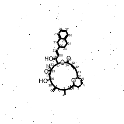 C=C1CC(C)C[C@@H]2CC=CC(C/C=C\C(=O)OC(C(O)/C=C/C3CCc4ccccc4C3)C[C@@H]3OC3[C@@H](O)C1)O2